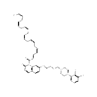 CC/C=C\C/C=C\C/C=C\C/C=C\C/C=C\C/C=C\CCC(=O)n1c(=O)ccc2ccc(OCCCCN3CCN(c4cccc(Cl)c4Cl)CC3)cc21